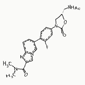 CC(=O)NC[C@H]1CN(c2ccc(-c3ccc4nc(C(=O)N(C)C)cn4c3)c(F)c2)C(=O)O1